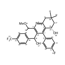 COC(C)c1nc2c(c(-c3ccc(F)cc3)c1C(O)c1ccc(C(F)(F)F)cc1)[C@@H](O)CC(C)(C)C2